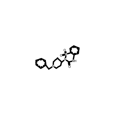 O=C1Nc2ccccc2S(=O)(=O)N1C1CCN(Cc2ccccc2)CC1